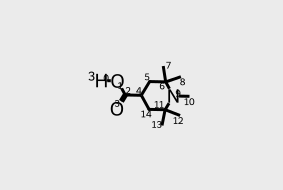 [3H]OC(=O)C1CC(C)(C)N(C)C(C)(C)C1